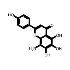 Nc1c(O)c(O)c(O)c2c(=O)cc(-c3ccc(O)cc3)oc12